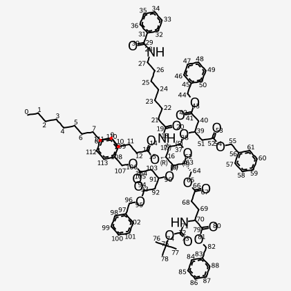 CCCCCCCCCCCCCC(=O)O[C@@H]1[C@H](NC(=O)CCCCCCCNC(=O)c2ccccc2)[C@@H](OC(CC(=O)OCc2ccccc2)CC(=O)OCc2ccccc2)O[C@H](COC(=O)CCC(NC(=O)OC(C)(C)C)C(=O)OCc2ccccc2)[C@H]1OC(CC(=O)OCc1ccccc1)CC(=O)OCc1ccccc1